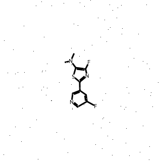 CN(C)c1sc(-c2cncc(F)c2)nc1F